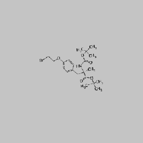 CC(C)(C)OC(=O)N[C@](C)(Cc1ccc(OCCBr)cc1)C(=O)OC(C)(C)C